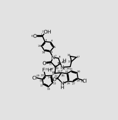 O=C(O)c1ccc(N2C[C@@H]3[C@H](C2=O)[C@@H](c2cccc(Cl)c2F)[C@@]2(C(=O)Nc4cc(Cl)ccc42)N3CC2CC2)cc1